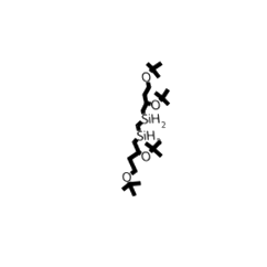 CC(C)(C)OCCC(C[SiH2]C[SiH2]CC(CCOC(C)(C)C)OC(C)(C)C)OC(C)(C)C